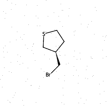 BrC[C@@H]1CCSC1